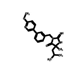 COc1ccc(-c2cccc(CN3C(=N)NC(C)(CC(C)C)C3=O)c2)cn1